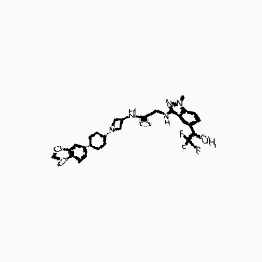 Cn1nc(NCC(=O)NC2CN([C@H]3CC[C@@H](c4ccc5c(c4)OCO5)CC3)C2)c2cc(C(O)C(F)(F)F)ccc21